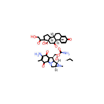 CO[C@@]12[C@H](COC(N)=O)C3=C(C(=O)C(C)=C(N)C3=O)N1C[C@H]1[C@@H]2N1C.C[C@]12C=CC(=O)C=C1CC[C@@H]1[C@@H]2C(=O)C[C@@]2(C)[C@H]1CC[C@]2(O)C(=O)CO.[CH2]CC